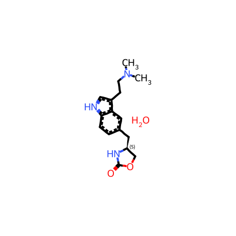 CN(C)CCc1c[nH]c2ccc(C[C@H]3COC(=O)N3)cc12.O